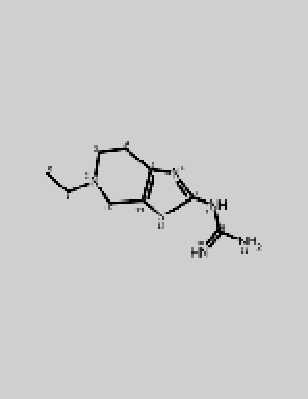 CCN1CCc2nc(NC(=N)N)sc2C1